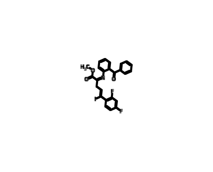 COC(=O)C(C/C=C(\I)c1ccc(F)cc1F)=Nc1ccccc1C(=O)c1ccccc1